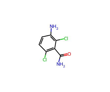 NC(=O)c1c(Cl)ccc(N)c1Cl